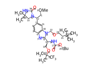 COCC(c1ccc2nc([C@H](COC(C)(C)C(F)(F)F)NC(=O)OC(C)(C)C)n(COCC[Si](C)(C)C)c2c1)N1CC(C)(C)NC1=O